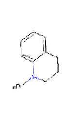 CCCN1CCCc2c[c]ccc21